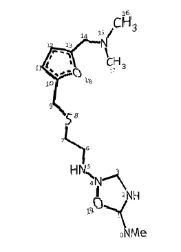 CNC1NCN(NCCSCc2ccc(CN(C)C)o2)O1